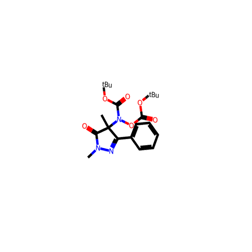 CN1N=C(c2ccccc2)C(C)(N(OC(=O)OC(C)(C)C)C(=O)OC(C)(C)C)C1=O